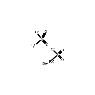 O=S(=O)([O-])C(F)(F)F.O=S(=O)([O-])C(F)(F)F.[Se+2]